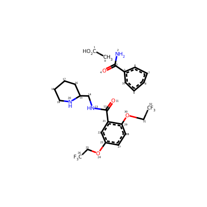 CC(=O)O.NC(=O)c1ccccc1.O=C(NCC1CCCCN1)c1cc(OCC(F)(F)F)ccc1OCC(F)(F)F